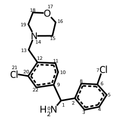 NC(c1cccc(Cl)c1)c1ccc(CN2CCOCC2)c(Cl)c1